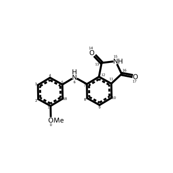 COc1cccc(Nc2cccc3c2C(=O)NC3=O)c1